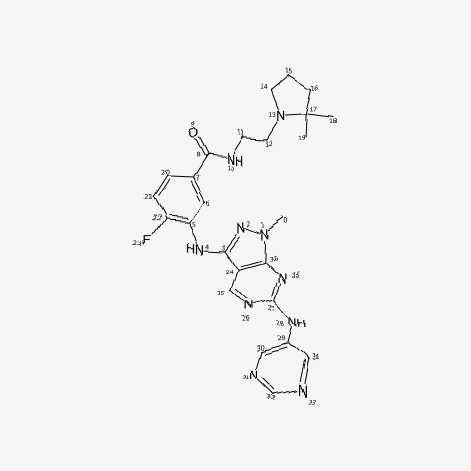 Cn1nc(Nc2cc(C(=O)NCCN3CCCC3(C)C)ccc2F)c2cnc(Nc3cncnc3)nc21